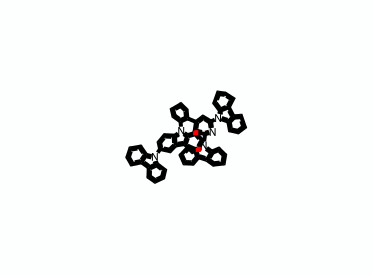 c1ccc(-n2c3ccccc3c3cc(-n4c5ccccc5c5ccccc54)ccc32)c(-c2cc(-n3c4ccccc4c4ccccc43)nc(-n3c4ccccc4c4ccccc43)c2)c1